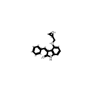 O=C1Nc2cccc(OCC3CO3)c2C1=Cc1ccccc1